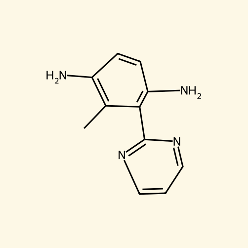 Cc1c(N)ccc(N)c1-c1ncccn1